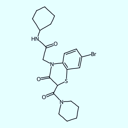 O=C(CN1C(=O)C(C(=O)N2CCCCC2)Sc2cc(Br)ccc21)NC1CCCCC1